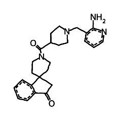 Nc1ncccc1CN1CCC(C(=O)N2CCC3(CC2)CC(=O)c2ccccc23)CC1